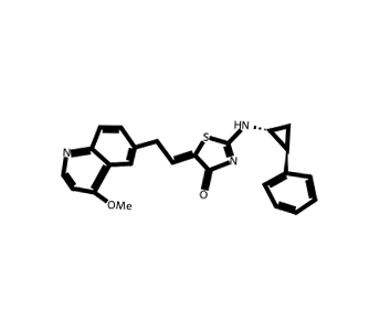 COc1ccnc2ccc(C/C=C3\SC(N[C@@H]4C[C@H]4c4ccccc4)=NC3=O)cc12